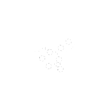 CC1(C)c2ccccc2-c2cc(N(c3ccc4c(c3)C3(c5ccccc5-4)C4CCC5CCC(C4)CC53)c3ccc4c5ccccc5n(-c5ccccc5)c4c3)ccc21